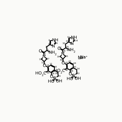 NC(Cc1c[nH]cn1)C(=O)N1CC(Oc2ccc3c(c2C(=O)O)O[B-](O)(O)CC3)C1.NC(Cc1c[nH]cn1)C(=O)N1CC(Oc2ccc3c(c2C(=O)O)O[B-](O)(O)CC3)C1.[Na+].[Na+]